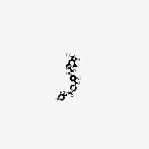 O=C(Nc1ccc(C(=O)N2CCN(C(=O)NCC3(O)CCNCC3)CC2)c(Cl)c1)c1ncc(Cc2c(C(F)(F)F)n[nH]c2C2CC2)[nH]1